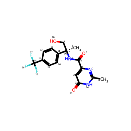 Cc1nc(C(=O)N[C@](C)(CO)c2ccc(C(F)(F)F)cc2)cc(=O)[nH]1